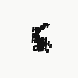 CC(C)OCCNc1ccc(C(=O)N2CCC3(CC2)CN/C(=N\C(=O)c2nc(Cl)c(N)nc2N)N3)cc1